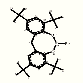 CC(C)(C)c1cc2c(c(C(C)(C)C)c1)OP(F)Oc1c(cc(C(C)(C)C)cc1C(C)(C)C)C2